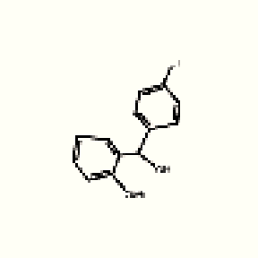 COc1ccccc1C(O)c1ccc(O)cc1